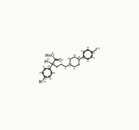 COC(=O)C(CCCN1CCN(c2ccc(F)cc2)CC1)(c1ccc(Br)cc1)C(C)C